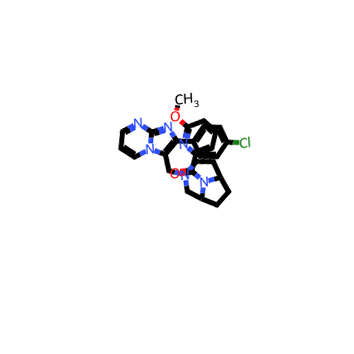 COc1cccc(C(=O)N2C3CCC2CN(Cc2c(-c4ccc(Cl)cc4)nc4ncccn24)CC3)n1